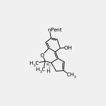 CCCCCC1=CC(O)C2=C3C=C(C)C[C@H]3C(C)(C)OC2=C1